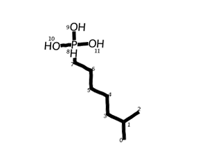 CC(C)CCCCC[PH](O)(O)O